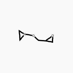 C1OC1CON1CC1